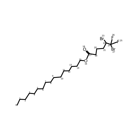 CCCCCCCCCCCCCCCCOC(=O)CCCC(Br)C(F)(F)Br